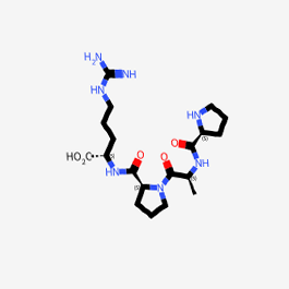 C[C@H](NC(=O)[C@@H]1CCCN1)C(=O)N1CCC[C@H]1C(=O)N[C@@H](CCCNC(=N)N)C(=O)O